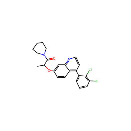 CC(Oc1ccc2c(-c3cccc(F)c3Cl)ccnc2c1)C(=O)N1CCCCC1